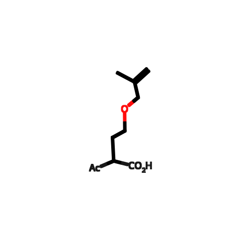 C=C(C)COCCC(C(C)=O)C(=O)O